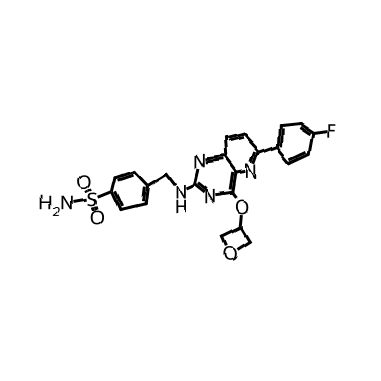 NS(=O)(=O)c1ccc(CNc2nc(OC3COC3)c3nc(-c4ccc(F)cc4)ccc3n2)cc1